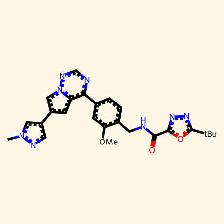 COc1cc(-c2ncnn3cc(-c4cnn(C)c4)cc23)ccc1CNC(=O)c1nnc(C(C)(C)C)o1